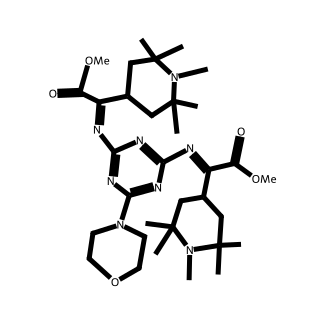 COC(=O)C(=Nc1nc(N=C(C(=O)OC)C2CC(C)(C)N(C)C(C)(C)C2)nc(N2CCOCC2)n1)C1CC(C)(C)N(C)C(C)(C)C1